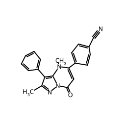 Cc1nn2c(=O)cc(-c3ccc(C#N)cc3)n(C)c2c1-c1ccccc1